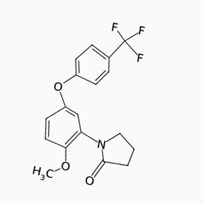 COc1ccc(Oc2ccc(C(F)(F)F)cc2)cc1N1CCCC1=O